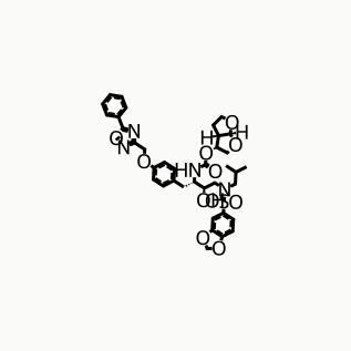 CC(C)CN(C[C@@H](O)[C@H](Cc1ccc(OCc2noc(-c3ccccc3)n2)cc1)NC(=O)O[C@H]1CO[C@H]2OCC[C@H]21)S(=O)(=O)c1ccc2c(c1)OCO2